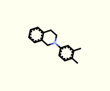 Cc1ccc(N2CCc3ccccc3C2)cc1C